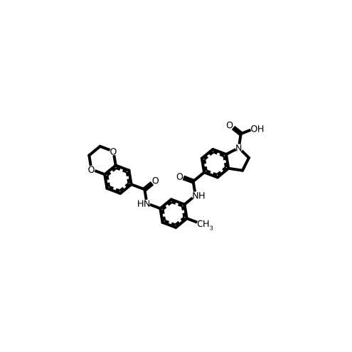 Cc1ccc(NC(=O)c2ccc3c(c2)OCCO3)cc1NC(=O)c1ccc2c(c1)CCN2C(=O)O